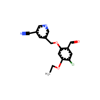 CCOc1cc(OCc2cncc(C#N)c2)c(C=O)cc1Cl